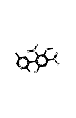 COc1c([N+](=O)[O-])cc(Br)c(-c2cc(C)cnc2F)c1[N+](=O)[O-]